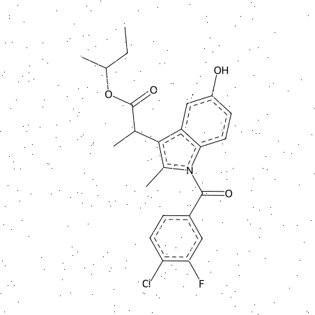 CCC(C)OC(=O)C(C)c1c(C)n(C(=O)c2ccc(Cl)c(F)c2)c2ccc(O)cc12